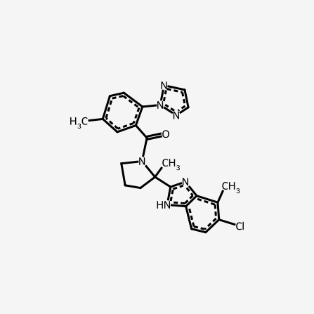 Cc1ccc(-n2nccn2)c(C(=O)N2CCCC2(C)c2nc3c(C)c(Cl)ccc3[nH]2)c1